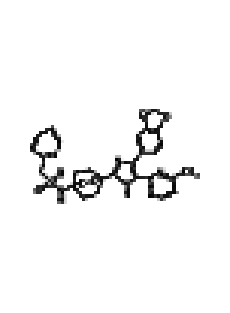 Cc1cccc(-c2[nH]c(C34CCC(NS(=O)(=O)Cc5ccccc5)(CC3)CC4)nc2-c2ccc3c(c2)OCO3)n1